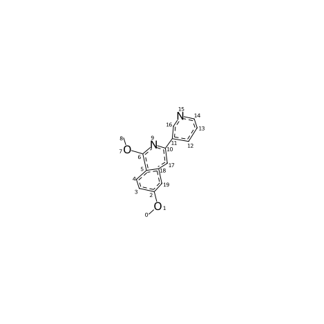 COc1ccc2c(OC)nc(-c3cccnc3)cc2c1